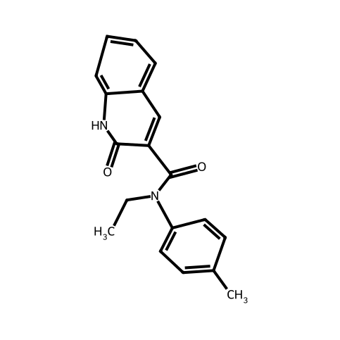 CCN(C(=O)c1cc2ccccc2[nH]c1=O)c1ccc(C)cc1